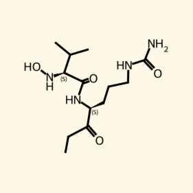 CCC(=O)[C@H](CCCNC(N)=O)NC(=O)[C@@H](NO)C(C)C